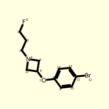 FCCCN1CC(Oc2ccc(Br)cc2)C1